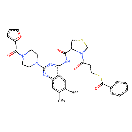 COc1cc2nc(N3CCN(C(=O)c4ccco4)CC3)nc(NC(=O)C3CSCN3C(=O)CCSC(=O)c3ccccc3)c2cc1OC